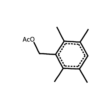 CC(=O)OCc1c(C)c(C)cc(C)c1C